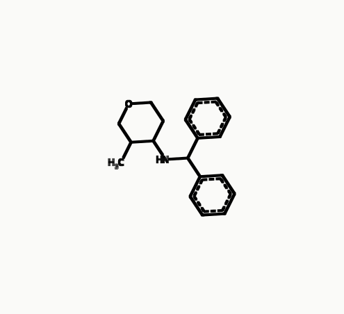 CC1COCCC1NC(c1ccccc1)c1ccccc1